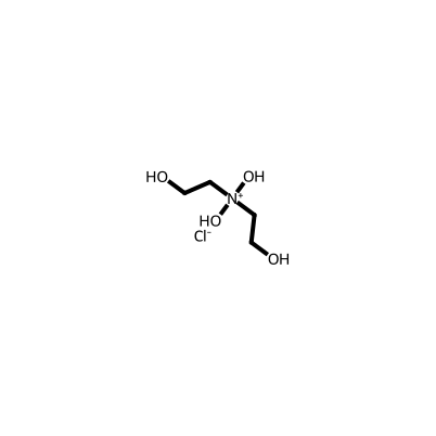 OCC[N+](O)(O)CCO.[Cl-]